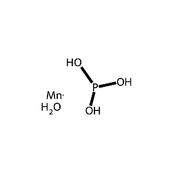 O.OP(O)O.[Mn]